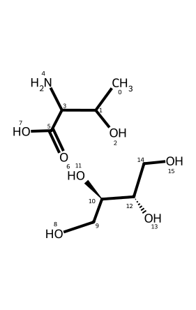 CC(O)C(N)C(=O)O.OC[C@@H](O)[C@@H](O)CO